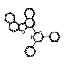 c1ccc(-c2cc(-c3ccccc3)nc(-c3cc4ccccc4c4c3oc3ccc5ccccc5c34)n2)cc1